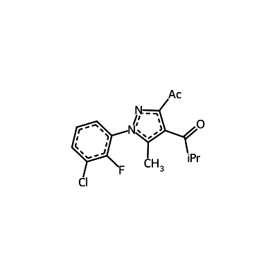 CC(=O)c1nn(-c2cccc(Cl)c2F)c(C)c1C(=O)C(C)C